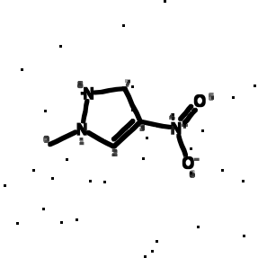 CN1C=C([N+](=O)[O-])C[N]1